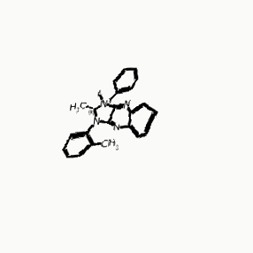 Cc1ccccc1N1c2nc3ccccc3nc2[N+](I)(c2ccccc2)[C@@H]1C